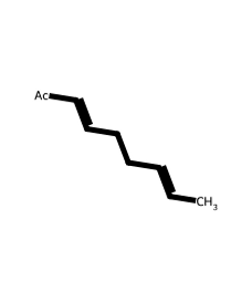 C/C=C/CC/C=C/C(C)=O